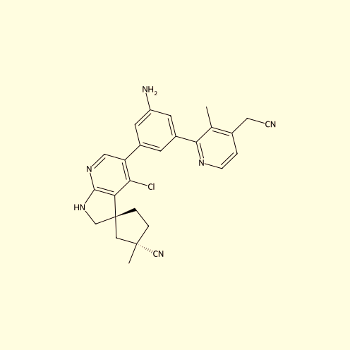 Cc1c(CC#N)ccnc1-c1cc(N)cc(-c2cnc3c(c2Cl)[C@@]2(CC[C@](C)(C#N)C2)CN3)c1